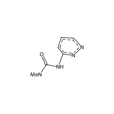 CNC(=O)Nc1cccnn1